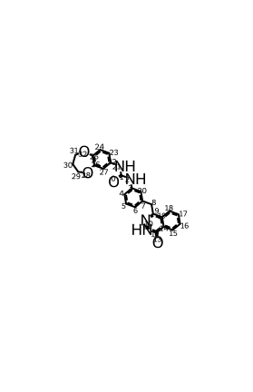 O=C(Nc1cccc(Cc2n[nH]c(=O)c3ccccc23)c1)Nc1ccc2c(c1)OCCCO2